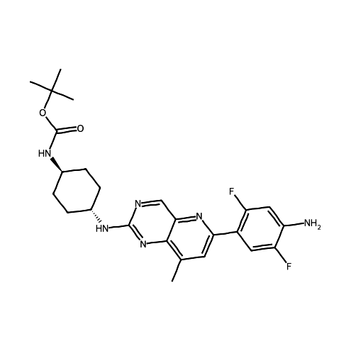 Cc1cc(-c2cc(F)c(N)cc2F)nc2cnc(N[C@H]3CC[C@H](NC(=O)OC(C)(C)C)CC3)nc12